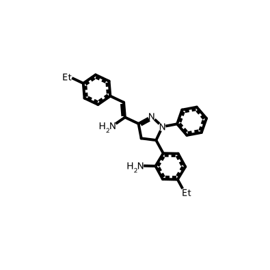 CCc1ccc(C=C(N)C2=NN(c3ccccc3)C(c3ccc(CC)cc3N)C2)cc1